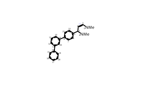 CN/C=C\C(NC)c1ccc(-c2cccc(-c3ccccc3)c2)cc1